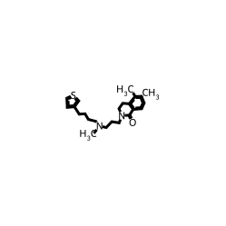 Cc1ccc2c(c1C)CCN(CCCN(C)CCCCc1ccsc1)C2=O